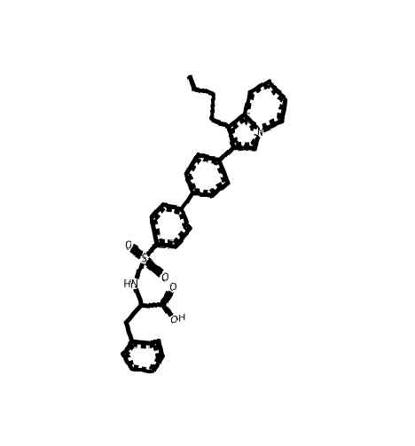 CCCCc1c(-c2ccc(-c3ccc(S(=O)(=O)NC(Cc4ccccc4)C(=O)O)cc3)cc2)cn2ccccc12